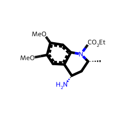 CCOC(=O)N1c2cc(OC)c(OC)cc2[C@@H](N)C[C@H]1C